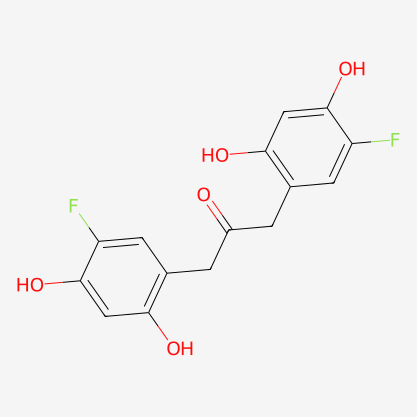 O=C(Cc1cc(F)c(O)cc1O)Cc1cc(F)c(O)cc1O